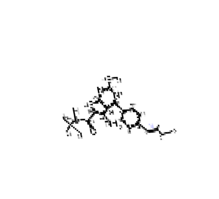 CC/C=C/c1ccc(-c2nc(SC)nc3sc(C(=O)NC(C)(C)C)c(N)c23)cc1